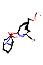 COCc1cc(C)nc(OC2CC3CCC(C2)N3C(=O)O)c1